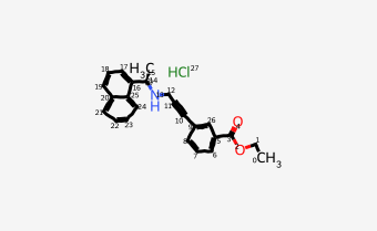 CCOC(=O)c1cccc(C#CCN[C@H](C)c2cccc3ccccc23)c1.Cl